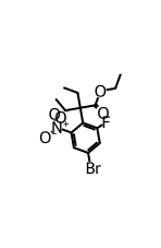 CCOC(=O)C(CC)(C(C)=O)c1c(F)cc(Br)cc1[N+](=O)[O-]